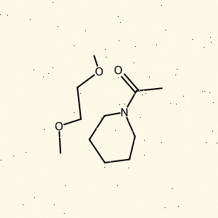 CC(=O)N1CCCCC1.COCCOC